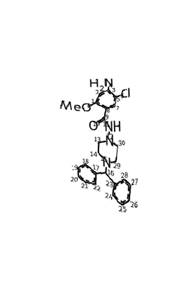 COc1cc(N)c(Cl)cc1C(=O)NN1CCN(C(c2ccccc2)c2ccccc2)CC1